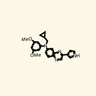 COc1cc(OC)cc(N(CC2CC2)c2ccc3ncc(-c4cc[nH]c4)nc3c2)c1